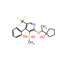 CC(Oc1ncc(C(F)(F)F)c(-c2ccccc2)c1S(C)(=O)=O)C1(O)CCCC1